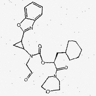 O=CCN(C(=O)O[C@@H](CC1CCCCC1)C(=O)N1CCOCC1)C1CC1c1nc2ccccc2o1